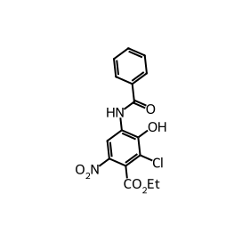 CCOC(=O)c1c([N+](=O)[O-])cc(NC(=O)c2ccccc2)c(O)c1Cl